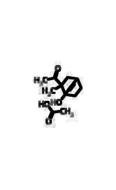 CC(=O)C1(C)CC2C=CC1(O)CC2.CC(=O)O